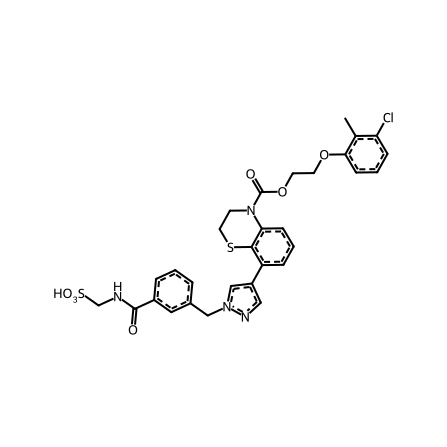 Cc1c(Cl)cccc1OCCOC(=O)N1CCSc2c(-c3cnn(Cc4cccc(C(=O)NCS(=O)(=O)O)c4)c3)cccc21